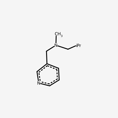 CC(C)CN(C)Cc1cccnc1